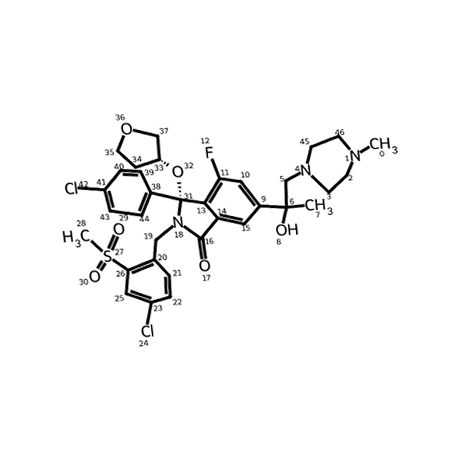 CN1CCN(CC(C)(O)c2cc(F)c3c(c2)C(=O)N(Cc2ccc(Cl)cc2S(C)(=O)=O)[C@@]3(O[C@@H]2CCOC2)c2ccc(Cl)cc2)CC1